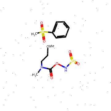 COCCN(C)C(=O)ON[SH](=O)=O.CS(=O)(=O)c1ccccc1